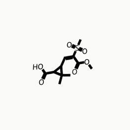 COC(=O)/C(=C\C1C(C(=O)O)C1(C)C)S(C)(=O)=O